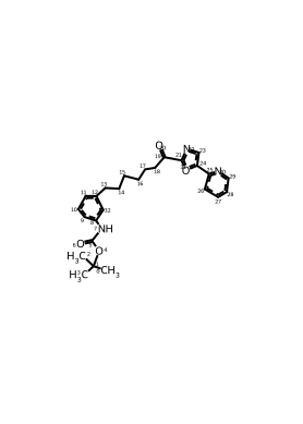 CC(C)(C)OC(=O)Nc1cccc(CCCCCCC(=O)c2ncc(-c3ccccn3)o2)c1